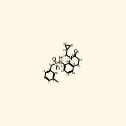 Cc1cccc(CS(=O)(=O)Nc2cccc3c2N(CC2CC2)C(=O)CC3)c1